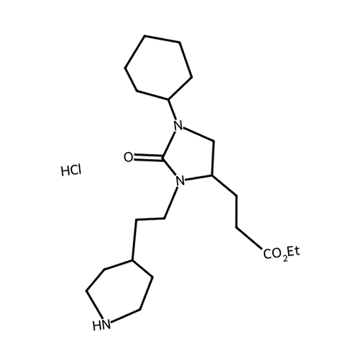 CCOC(=O)CCC1CN(C2CCCCC2)C(=O)N1CCC1CCNCC1.Cl